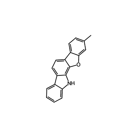 Cc1ccc2c(c1)oc1c2ccc2c3ccccc3[nH]c21